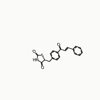 O=C1NC(=O)C(Cc2ccc(C(=O)C=Cc3ccccc3)cc2)S1